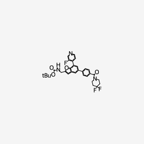 CC(C)(C)OC(=O)NCc1cc2cc(-c3ccc(C(=O)N4CCC(F)(F)CC4)cc3)cc(-c3ccncc3F)c2o1